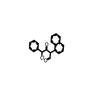 O=[C]C(C(=O)C(Cl)c1ccccc1)c1cccc2ccccc12